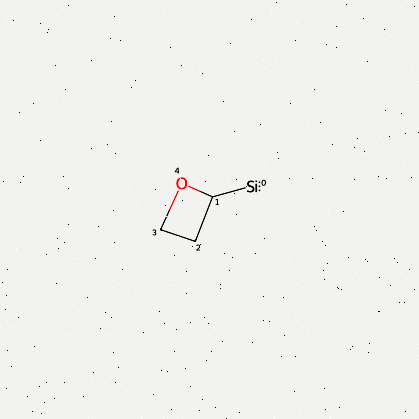 [Si]C1CCO1